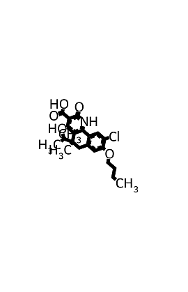 CCCCOc1cc2c(cc1Cl)-c1[nH]c(=O)c(C(=O)O)c(O)c1C(C)(C(C)C)C2